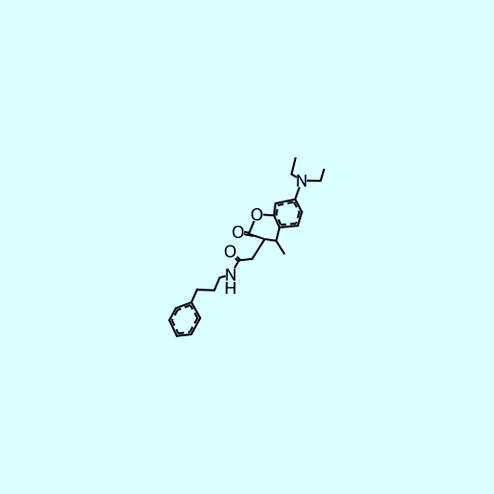 CCN(CC)c1ccc2c(c1)OC(=O)C(CC(=O)NCCCc1ccccc1)C2C